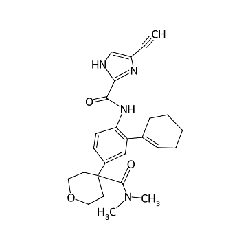 C#Cc1c[nH]c(C(=O)Nc2ccc(C3(C(=O)N(C)C)CCOCC3)cc2C2=CCCCC2)n1